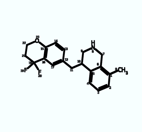 Cc1cccc2c1CNCC2Cc1ccc2c(c1)C(F)(F)CCO2